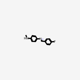 CNc1ccc(/N=C/c2ccc(F)cc2)cc1